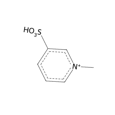 C[n+]1cccc(S(=O)(=O)O)c1